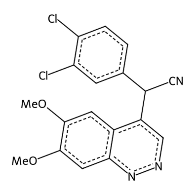 COc1cc2nncc(C(C#N)c3ccc(Cl)c(Cl)c3)c2cc1OC